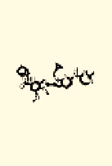 COc1cc(C(=O)N2CC3CCC2C3N)cc2nc(-c3cc4ccc(Nc5ccnc(C)n5)nc4n3CC3CC3)n(C)c12